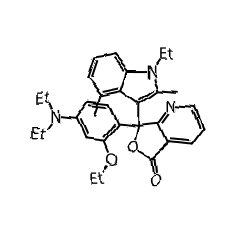 CCOc1cc(N(CC)CC)ccc1C1(c2c(C)n(CC)c3cccc(C)c23)OC(=O)c2cccnc21